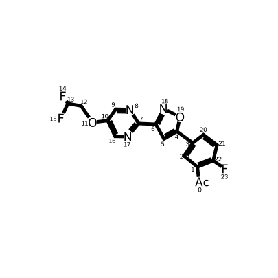 CC(=O)c1cc(-c2cc(-c3ncc(OCC(F)F)cn3)no2)ccc1F